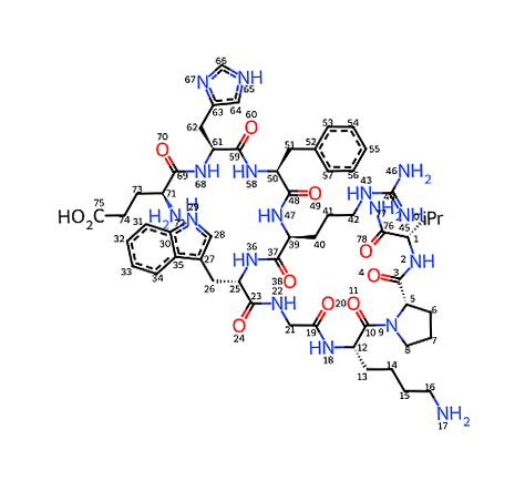 CC(C)[C@H](NC(=O)[C@@H]1CCCN1C(=O)[C@H](CCCCN)NC(=O)CNC(=O)[C@H](Cc1c[nH]c2ccccc12)NC(=O)[C@H](CCCNC(=N)N)NC(=O)[C@H](Cc1ccccc1)NC(=O)[C@H](Cc1c[nH]cn1)NC(=O)[C@@H](N)CCC(=O)O)C(N)=O